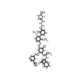 Cc1c(COc2cc(OCc3cncc(C#N)c3)c(CN(C)Cc3nn(C)c4ccccc34)cc2Cl)cccc1-c1cccc(OCCCN2CC[C@@H](O)C2)c1C